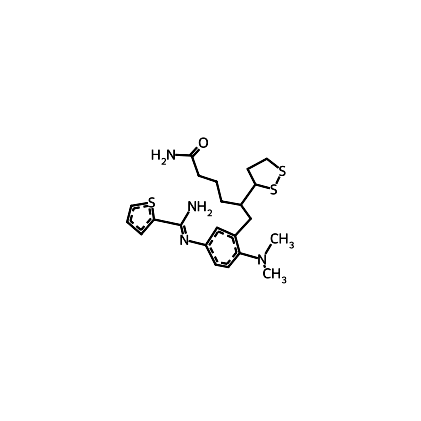 CN(C)c1ccc(N=C(N)c2cccs2)cc1CC(CCCC(N)=O)C1CCSS1